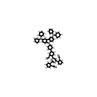 N#Cc1ccccc1-c1cc(-c2ccc(-c3ccc(-n4c5ccc(N(c6ccccc6)c6ccccc6)cc5c5cc(N(c6ccccc6)c6ccccc6)ccc54)cc3)cc2C#N)nc(-c2ccccc2C#N)n1